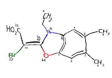 Cc1cc2c(cc1C)N(C)C(=C(Br)C(=O)O)O2